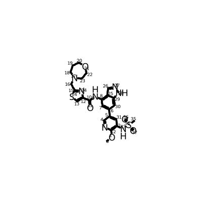 COc1ncc(-c2cc(NC(=O)c3csc(CN4CCCOCC4)n3)c3cn[nH]c3c2)cc1NS(C)(=O)=O